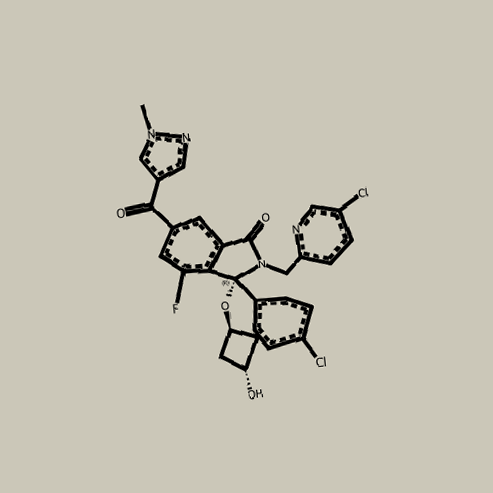 Cn1cc(C(=O)c2cc(F)c3c(c2)C(=O)N(Cc2ccc(Cl)cn2)[C@@]3(O[C@H]2C[C@H](O)C2)c2ccc(Cl)cc2)cn1